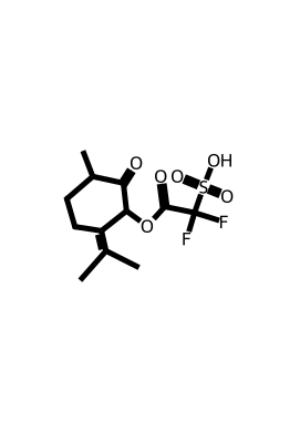 CC(C)=C1CCC(C)C(=O)C1OC(=O)C(F)(F)S(=O)(=O)O